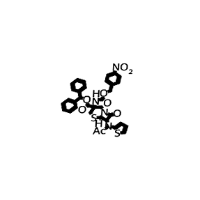 CC(=O)N(c1cccs1)C1C(=O)N2CC(NC(=O)OCc3ccc([N+](=O)[O-])cc3)(C(=O)OC(c3ccccc3)c3ccccc3)CS[C@H]12